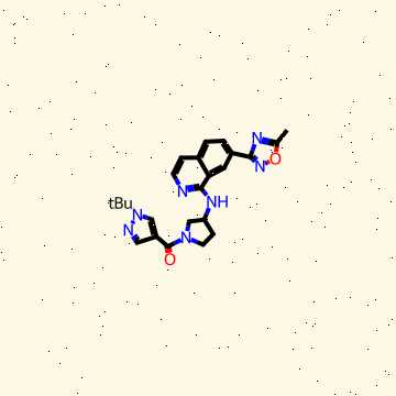 Cc1nc(-c2ccc3ccnc(NC4CCN(C(=O)c5cnn(C(C)(C)C)c5)C4)c3c2)no1